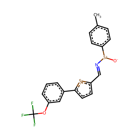 Cc1ccc([S+]([O-])/N=C/c2ccc(-c3cccc(OC(F)(F)F)c3)s2)cc1